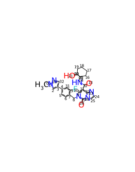 Cn1cc(-c2ccc(Cn3cc(C(=O)N[C@H]4CCCC[C@@H]4O)c4nccn4c3=O)c(F)c2)cn1